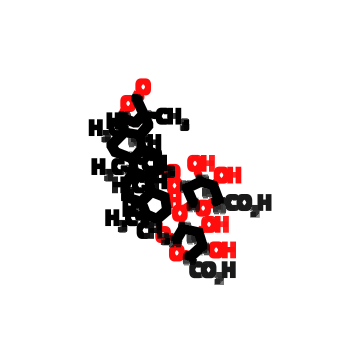 CC1(C)[C@@H](O[C@@H]2O[C@H](C(=O)O)[C@@H](O)[C@H](O)[C@H]2O[C@@H]2O[C@H](C(=O)O)[C@@H](O)[C@H](O)[C@H]2O)CC[C@]2(C)[C@H]3C(=O)C=C4[C@@H]5C[C@]6(C)C[C@@H](OC6=O)[C@]5(C)CC[C@@]4(C)[C@]3(C)CC[C@@H]12